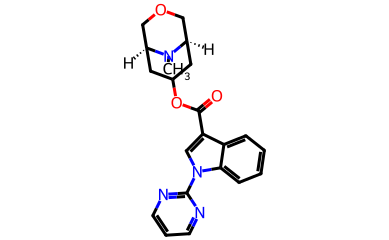 CN1[C@@H]2COC[C@H]1CC(OC(=O)c1cn(-c3ncccn3)c3ccccc13)C2